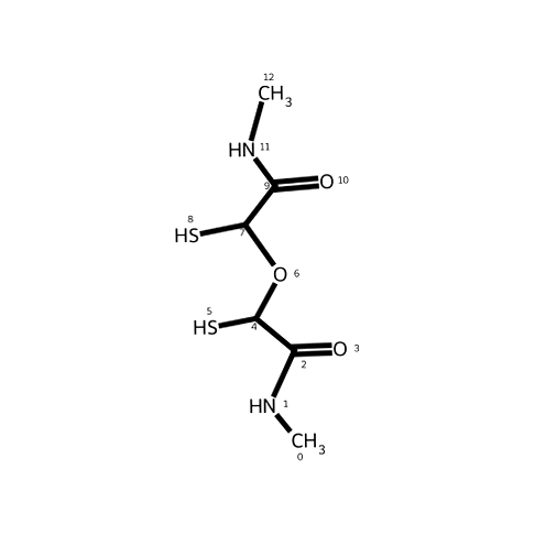 CNC(=O)C(S)OC(S)C(=O)NC